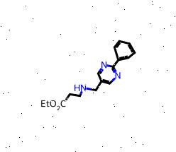 CCOC(=O)CCNCc1cnc(-c2ccccc2)nc1